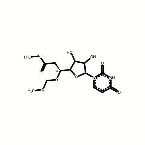 CNC(=O)C[C@H](OCOC)C1OC(n2ccc(=O)[nH]c2=O)C(O)C1O